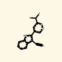 N#Cc1c(-c2cnnc(C(F)F)c2)[nH]c2ccccc12